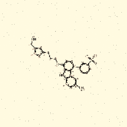 CCS(=O)(=O)c1cccc(-c2ccc(OCCCn3cnc(CO)c3)c3[nH]c4ncc(C)cc4c23)c1